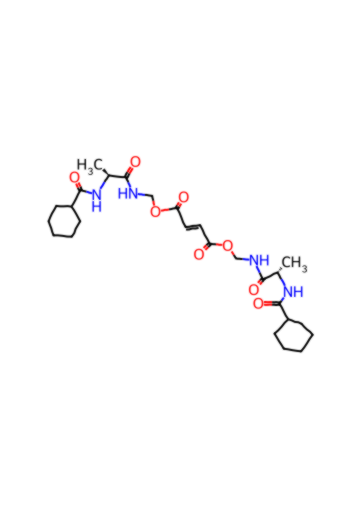 C[C@H](NC(=O)C1CCCCC1)C(=O)NCOC(=O)/C=C/C(=O)OCNC(=O)[C@H](C)NC(=O)C1CCCCC1